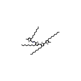 CCCCCCCCc1cc(-c2cc(CCCCCCCC)c(-c3cc(CCCCCCCC)c(/C=C/c4sc(C)cc4CCCCCCCC)s3)s2)sc1C